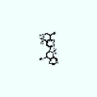 CC(C)C1CNS(=O)(=O)c2cc(N3CC(C(C)C)c4ncncc4S3(=O)=O)nnc21